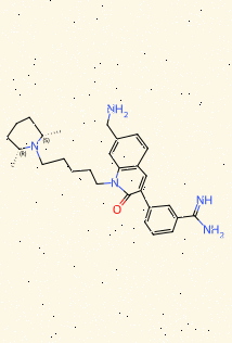 C[C@@H]1CCC[C@H](C)N1CCCCCn1c(=O)c(-c2cccc(C(=N)N)c2)cc2ccc(CN)cc21